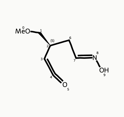 COC[C@H](C=C=O)CC=NO